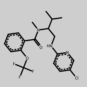 CC(C)C(CNc1ccc(Cl)cn1)N(C)C(=O)c1ccccc1OC(F)(F)F